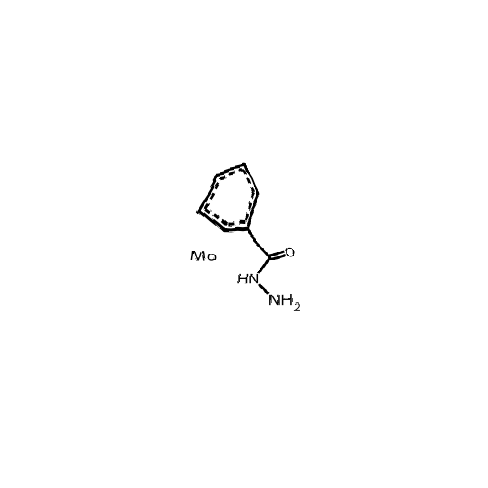 NNC(=O)c1ccccc1.[Mo]